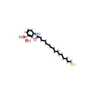 O=C(CCCCCCCCCCCCCCCS)NC1C=C(B(O)O)C=CC1